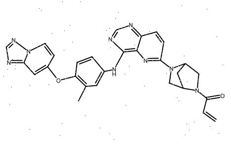 C=CC(=O)N1CC2CC1CN2c1ccc2ncnc(Nc3ccc(Oc4ccn5ncnc5c4)c(C)c3)c2n1